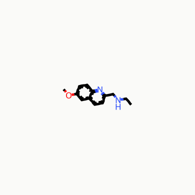 CCNCc1ccc2cc(OC)ccc2n1